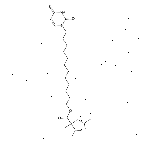 CC(C)CC(C)(C(=O)OCCCCCCCCCCCCn1ccc(=S)[nH]c1=O)C(C)C